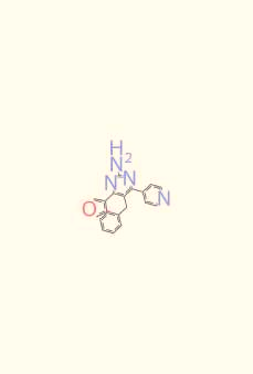 Nc1nc(-c2ccncc2)c(Cc2ccccc2)c(-c2ccoc2)n1